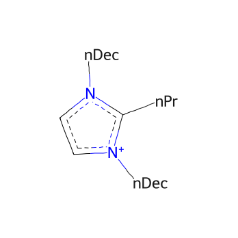 CCCCCCCCCCn1cc[n+](CCCCCCCCCC)c1CCC